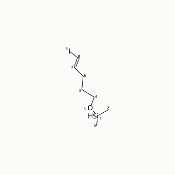 C[SiH](C)OCCCC=CI